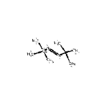 CC(=O)OC(C)(C)N=[N][Ge]([CH3])([CH3])[CH3]